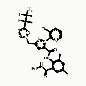 Cc1cc(I)cc(C(=O)NC(C)(C)C)c1NC(=O)c1cc(Cn2nnc(C(F)(F)C(F)(F)C(F)(F)F)n2)nn1-c1ncccc1Cl